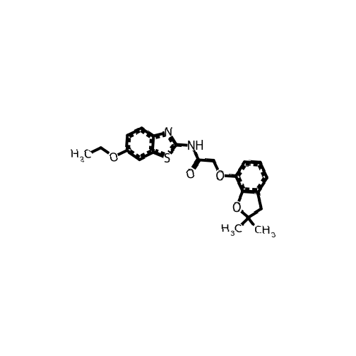 CCOc1ccc2nc(NC(=O)COc3cccc4c3OC(C)(C)C4)sc2c1